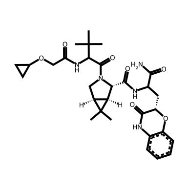 CC(C)(C)C(NC(=O)COC1CC1)C(=O)N1C[C@H]2[C@@H]([C@H]1C(=O)NC(C[C@@H]1Oc3ccccc3NC1=O)C(N)=O)C2(C)C